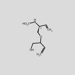 C=CC(CO)OC[C@H](C=C)NC(=O)O